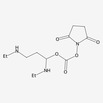 CCNCCC(NCC)OC(=O)ON1C(=O)CCC1=O